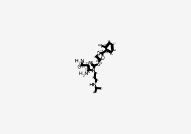 CC(C)NCCCn1c(SC2=COC(c3ccccc3I)O2)nc(C(N)=O)c1N